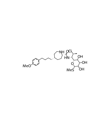 COc1ccc(CCCC[C@@H]2CCN[C@H](C(=O)N[C@H]([C@H](C)Cl)[C@H]3OC(SC)[C@H](O)C(O)C3O)CC2)cc1